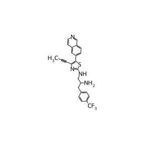 CC#Cc1nc(NCC(N)Cc2ccc(C(F)(F)F)cc2)sc1-c1ccc2cnccc2c1